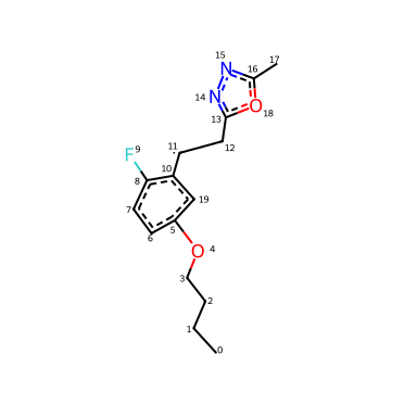 CCCCOc1ccc(F)c([CH]Cc2nnc(C)o2)c1